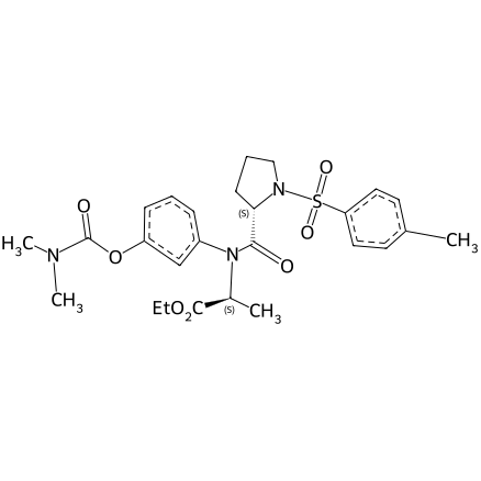 CCOC(=O)[C@H](C)N(C(=O)[C@@H]1CCCN1S(=O)(=O)c1ccc(C)cc1)c1cccc(OC(=O)N(C)C)c1